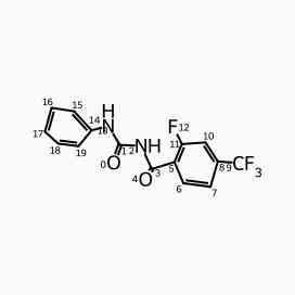 O=C(NC(=O)c1ccc(C(F)(F)F)cc1F)Nc1ccccc1